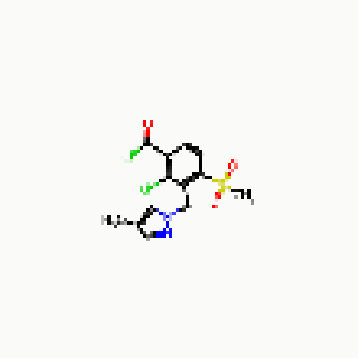 Cc1cnn(Cc2c(S(C)(=O)=O)ccc(C(=O)Cl)c2Cl)c1